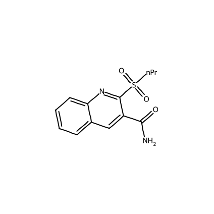 CCCS(=O)(=O)c1nc2ccccc2cc1C(N)=O